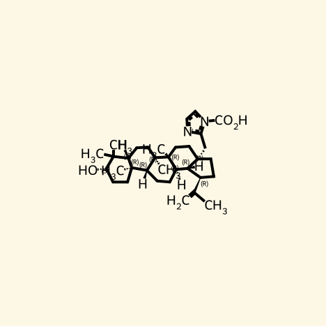 C=C(C)[C@@H]1CC[C@]2(Cc3nccn3C(=O)O)CC[C@]3(C)[C@H](CC[C@@H]4[C@@]5(C)CC[C@H](O)C(C)(C)[C@@H]5CC[C@]43C)[C@@H]12